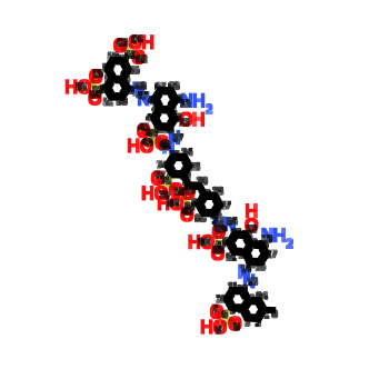 Cc1ccc2c(S(=O)(=O)O)ccc(N=Nc3ccc(N)c4c(O)c(N=Nc5ccc(/C=C/c6ccc(N=Nc7c(S(=O)(=O)O)cc8c(N=Nc9ccc(S(=O)(=O)O)c%10ccc(S(=O)(=O)O)cc9%10)ccc(N)c8c7O)cc6S(=O)(=O)O)c(S(=O)(=O)O)c5)c(S(=O)(=O)O)cc34)c2c1